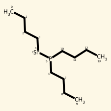 CCC[CH2][Sn][P](CCCC)CCCC